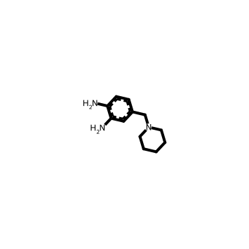 Nc1ccc(CN2CCCCC2)cc1N